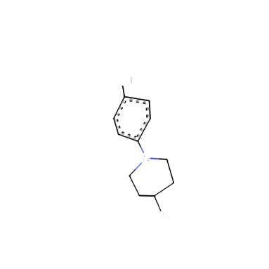 CC(=O)C1CCN(c2ccc(C)cc2)CC1